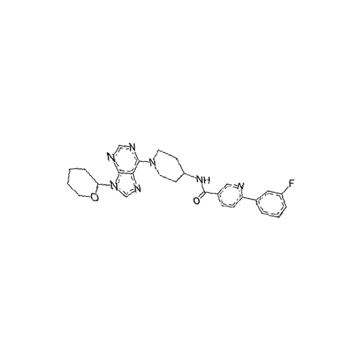 O=C(NC1CCN(c2ncnc3c2ncn3C2CCCCO2)CC1)c1ccc(-c2cccc(F)c2)nc1